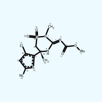 CN1/C(=N/C(=O)OC(C)(C)C)N[C@](C)(c2sc(C#N)cc2Cl)CS1(=O)=O